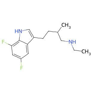 CCNCC(C)CCc1c[nH]c2c(F)cc(F)cc12